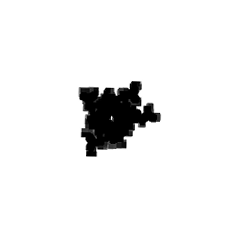 CC(C)COC(C)[Si]1(C(C)C)O[Si](C(C)C)(C(C)OCC(C)C)O[Si](C(C)C)(C(C)OCC(C)C)O[Si](C(C)C)(C(C)OCC(C)C)O1